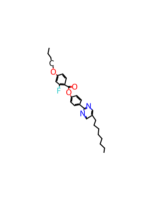 CCCCCCCCc1cnc(-c2ccc(OC(=O)c3ccc(OCCCCC)cc3F)cc2)nc1